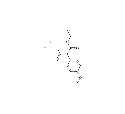 CCOC(=O)C(C(=O)OC(C)(C)C)c1ccc(OC)cc1